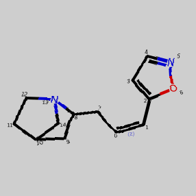 C(=C/c1ccno1)/CC1CC2CCN1C2